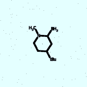 BC1CC(C(C)(C)C)CCN1C